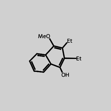 CCc1c(CC)c(OC)c2ccccc2c1O